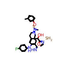 Cc1cccc(OSN(C)N2CCC3=CC(Nc4ccc(F)cc4)=C(C=N)CC3(C(O)c3ncco3)C2)c1.S